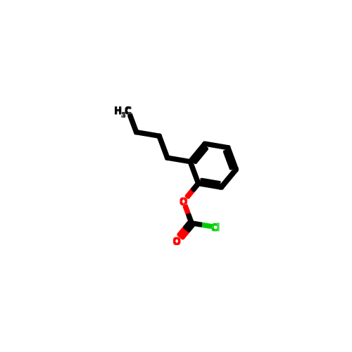 CCCCc1ccccc1OC(=O)Cl